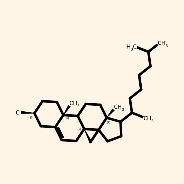 CC(C)CCCCC(C)C1CCC23C[C@]24CC=C2C[C@@H](Cl)CC[C@]2(C)C4CC[C@]13C